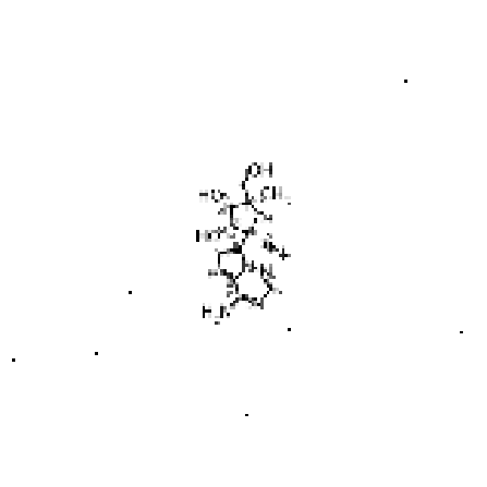 C[C@]1(CO)O[C@@](C#N)(c2ccc3c(N)ncnn23)[C@H](O)[C@@H]1O